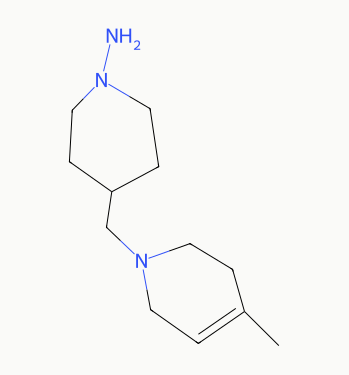 CC1=CCN(CC2CCN(N)CC2)CC1